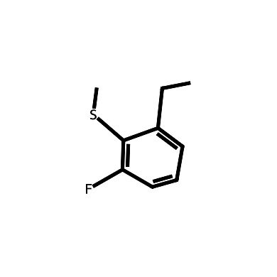 CCc1cccc(F)c1SC